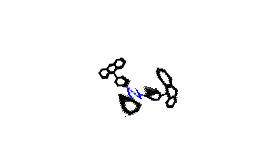 [c]1ccc(N(c2ccc(-c3c4ccccc4cc4ccccc34)cc2)c2ccc(-c3c4ccccc4cc4ccccc34)cc2)cc1